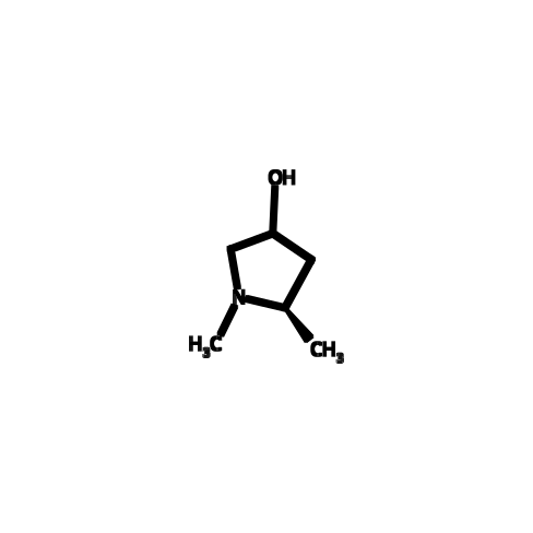 C[C@@H]1CC(O)CN1C